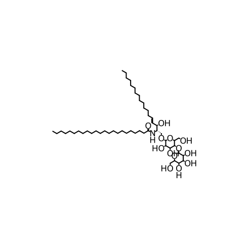 CCCCCCCCCCCCC/C=C/[C@@H](O)[C@H](COC1OC(CO)C(OC2OC(CO)C(O)C(O)C2O)C(O)C1O)NC(=O)CCCCCCCCCCCCCCCCCCCCCC